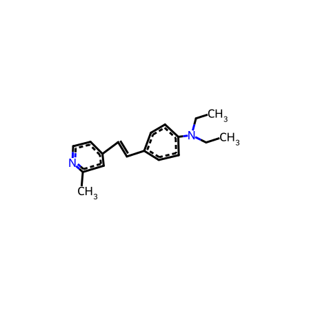 CCN(CC)c1ccc(C=Cc2ccnc(C)c2)cc1